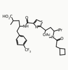 CC(=O)OC(CC(C(C)C)N(C)C(=O)CC1CCC1)c1nc(C(=O)NC(Cc2ccc(C(F)(F)F)cc2)CC(C)C(=O)O)cs1